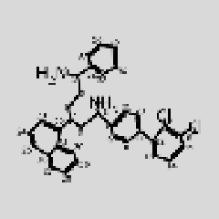 NC(CC[C](CC(N)c1ccc(-c2cccc(Cl)c2Cl)cc1)c1cccc2ccccc12)c1ccccc1